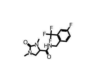 CN1CC(C(=O)NCc2ccc(F)cc2C(F)(F)F)N(C)C1=O